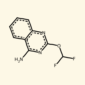 Nc1nc(OC(F)F)nc2ccccc12